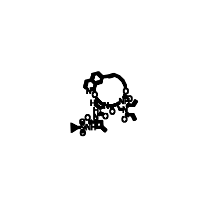 C=CCN(C[C@@H]1NC(=O)OCCC/C=C/c2ccc3ccnc(c3c2)O[C@@H]2C[C@@H](C(=O)NC3(C(=O)NS(=O)(=O)C4=CC4)CC(=C)C3)N(C2)C1=O)C(=O)C=C